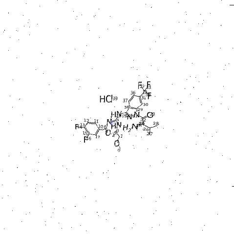 COC[C@H](C)N/C(=N\C(=O)c1ccc(F)c(F)c1)Nc1nn(C(=O)[C@@H](N)C(C)C)c2cc(C(F)(F)F)ccc12.Cl